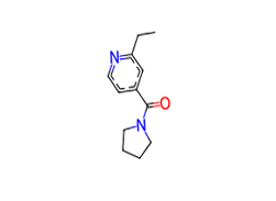 CCc1cc(C(=O)N2CCCC2)ccn1